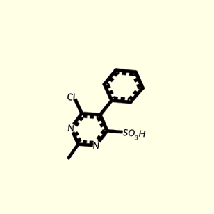 Cc1nc(Cl)c(-c2ccccc2)c(S(=O)(=O)O)n1